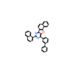 c1ccc(-c2cccc(-c3nc(-c4cccc5ccccc45)nc4c3oc3c5ccccc5ccc43)c2)cc1